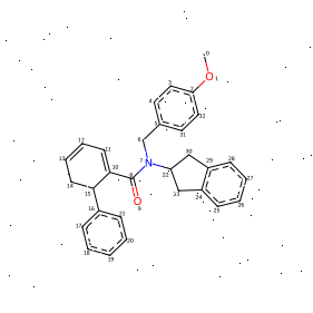 COc1ccc(CN(C(=O)C2=CC=CCC2c2ccccc2)C2Cc3ccccc3C2)cc1